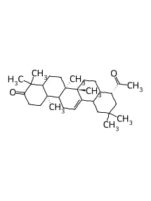 CC(=O)[C@@H]1CC(C)(C)CC2C3=CCC4[C@@]5(C)CCC(=O)C(C)(C)C5CC[C@@]4(C)[C@]3(C)CCC21